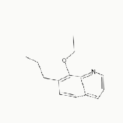 CCCc1ccc2cccnc2c1OCC